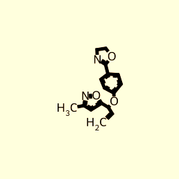 C=CC(Oc1ccc(C2=NCCO2)cc1)c1cc(C)no1